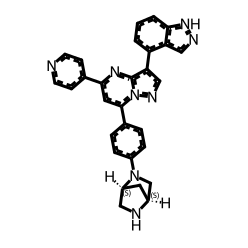 c1cc(-c2cnn3c(-c4ccc(N5C[C@@H]6C[C@H]5CN6)cc4)cc(-c4ccncc4)nc23)c2cn[nH]c2c1